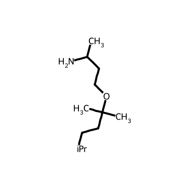 CC(C)CCC(C)(C)OCCC(C)N